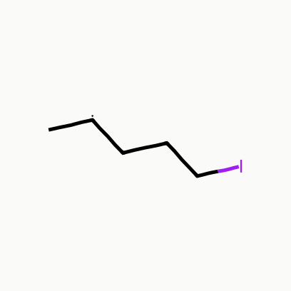 C[CH]CCCI